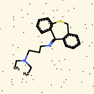 CCN(CC)CCC/N=C1/c2ccccc2CSc2ccccc21